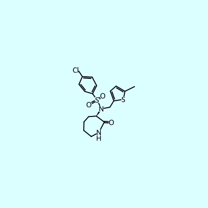 Cc1ccc(CN([C@@H]2CCCCNC2=O)S(=O)(=O)c2ccc(Cl)cc2)s1